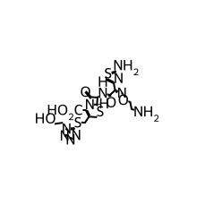 NCCO/N=C(\C(=O)NC1C(=O)N2C(C(=O)O)=C(CSc3nnnn3CCO)CS[C@H]12)c1csc(N)n1